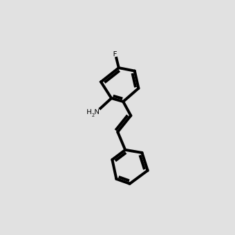 Nc1cc(F)ccc1/C=C/c1ccccc1